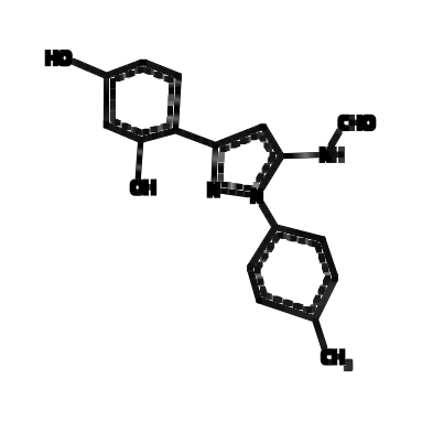 Cc1ccc(-n2nc(-c3ccc(O)cc3O)cc2NC=O)cc1